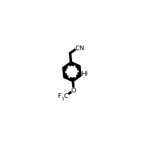 I.N#CCc1ccc(OC(F)(F)F)cc1